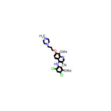 COc1cc(Nc2c(C#N)cnc3c(OC)c(OCCCN4CCN(C)CC4)ccc23)c(Cl)cc1Cl